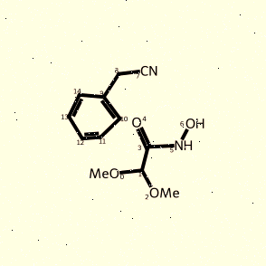 COC(OC)C(=O)NO.N#CCc1ccccc1